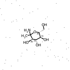 CC1(N)O[C@H](CO)[C@@H](O)[C@H](O)[C@H]1O